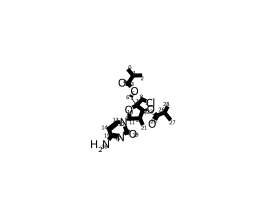 CC(C)C(=O)OC[C@@]1(CCl)O[C@@H](n2ccc(N)nc2=O)C(C)[C@@H]1OC(=O)C(C)C